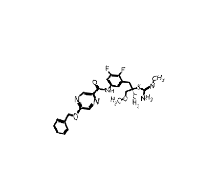 C/N=C(/N)S[C@@](C)(COC)Cc1cc(NC(=O)c2cnc(OCc3ccccc3)cn2)cc(F)c1F